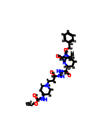 CC(C)(C)OC(=O)NC1CCN(CCC(=O)NNC(=O)[C@@H]2CC[C@@H]3CN2C(=O)N3OCc2ccccc2)CC1